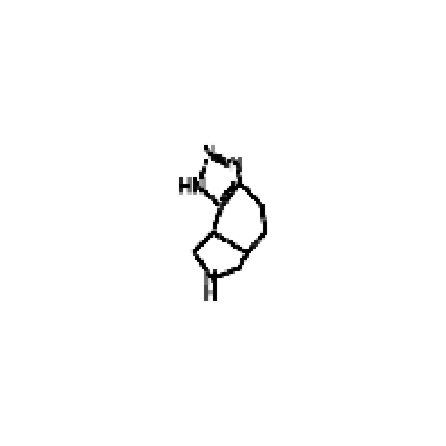 C1CC2CNCC2c2[nH]nnc21